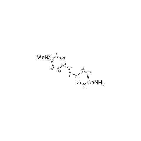 CNc1ccc(C=Cc2ccc(N)cc2)cc1